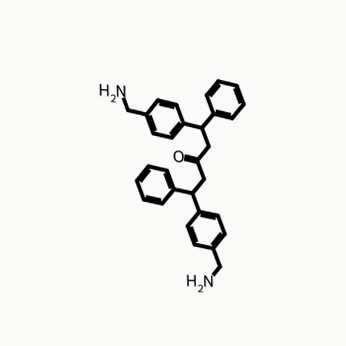 NCc1ccc(C(CC(=O)CC(c2ccccc2)c2ccc(CN)cc2)c2ccccc2)cc1